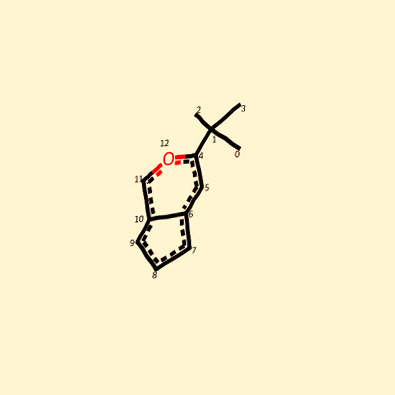 CC(C)(C)c1cc2cccc-2co1